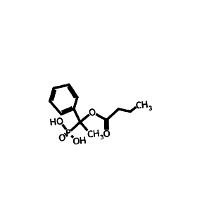 CCCC(=O)OC(C)(c1ccccc1)P(=O)(O)O